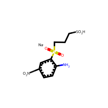 Nc1ccc([N+](=O)[O-])cc1S(=O)(=O)CCCS(=O)(=O)O.[Na]